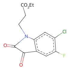 CCOC(=O)CCN1C(=O)C(=O)c2cc(F)c(Cl)cc21